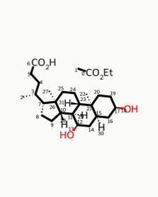 CCOC(C)=O.C[C@H](CCC(=O)O)[C@H]1CC[C@H]2[C@@H]3[C@H](O)C[C@@H]4C[C@H](O)CC[C@]4(C)[C@H]3CC[C@]12C